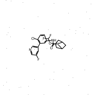 O=C(Nc1ccc(Cl)c(-c2cncc(F)c2)c1)N1C2CC(OC(F)F)CC1C2